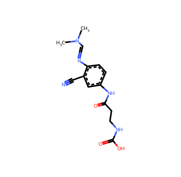 CN(C)C=Nc1ccc(NC(=O)CCNC(=O)O)cc1C#N